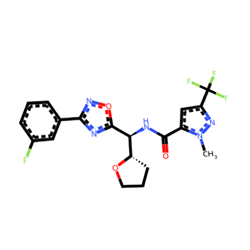 Cn1nc(C(F)(F)F)cc1C(=O)N[C@H](c1nc(-c2cccc(F)c2)no1)[C@@H]1CCCO1